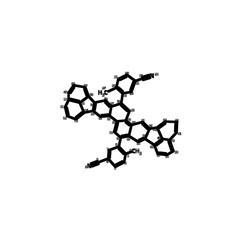 Cc1ccc(C#N)cc1-c1cc2c3cc4c(cc3c(-c3cc(C#N)ccc3C)cc2c2cc3c(cc12)-c1cccc2cccc-3c12)-c1cccc2cccc-4c12